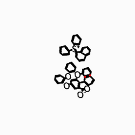 O=C([O-])c1cc(Oc2ccccc2)c(Oc2ccccc2)c(Oc2ccccc2)c1-c1ccccc1.c1ccc([S+](c2ccccc2)c2cccc3ccccc23)cc1